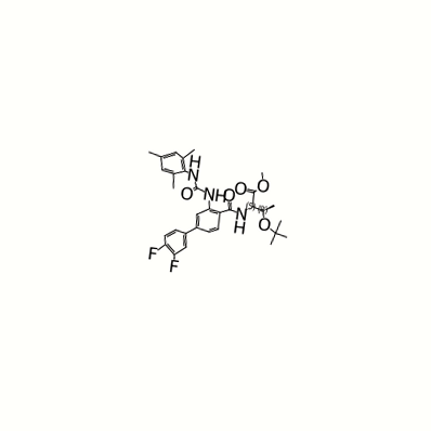 COC(=O)[C@@H](NC(=O)c1ccc(-c2ccc(F)c(F)c2)cc1NC(=O)Nc1c(C)cc(C)cc1C)[C@@H](C)OC(C)(C)C